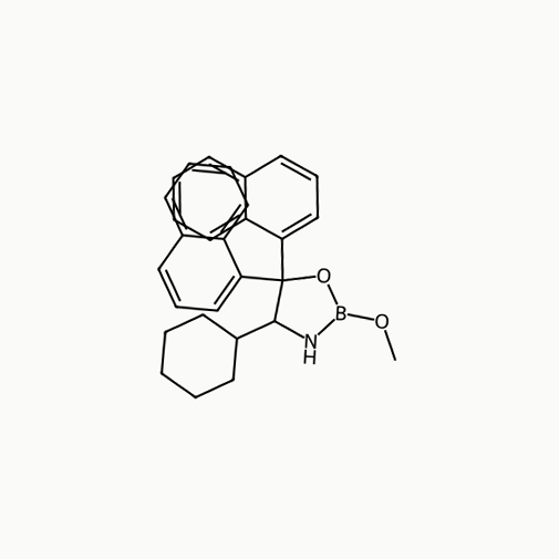 COB1NC(C2CCCCC2)C(c2cccc3ccccc23)(c2cccc3ccccc23)O1